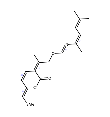 CS/C=C/C=C\C(C(=O)Cl)=C(/C)CO/C=N/C(C)=C\C=C(C)C